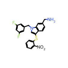 NCc1ccc2c(Sc3ccccc3[N+](=O)[O-])cn(Cc3cc(F)cc(F)c3)c2c1